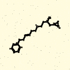 CCC(CCOCCC=CCCc1ccccc1)CC1CO1